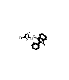 CN1C=C(Br)SC1N=Nc1c(-c2ccccc2)n(C)c2ccccc12